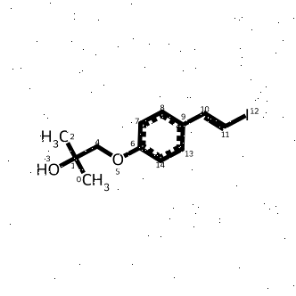 CC(C)(O)COc1ccc(C=CI)cc1